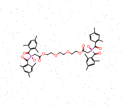 Cc1ccc(C(=O)P(=O)(CC(=O)OCCOCCOCCOC(=O)CP(=O)(C(=O)c2c(C)cc(C)cc2C)C(=O)c2c(C)cc(C)cc2C)C(=O)c2c(C)cc(C)cc2C)c(C)c1